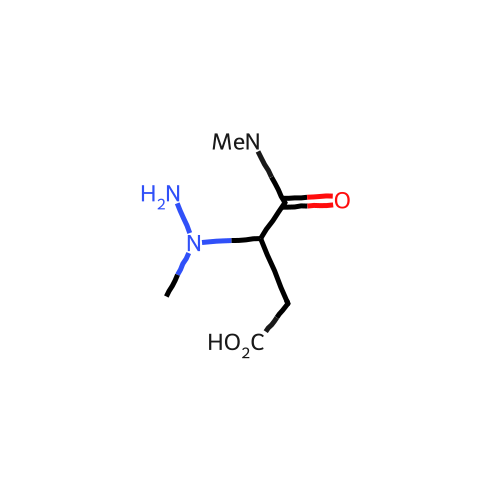 CNC(=O)C(CC(=O)O)N(C)N